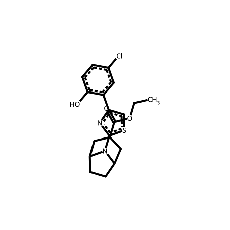 CCOC(=O)C1CC2CCC(C1)N2c1nc(-c2cc(Cl)ccc2O)cs1